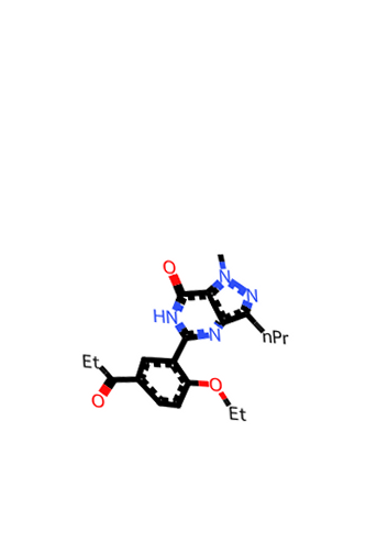 CCCc1nn(C)c2c(=O)[nH]c(-c3cc(C(=O)CC)ccc3OCC)nc12